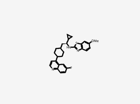 COc1ccc2nc(N[C@@H](CC3CCC(c4ccnc5ccc(F)cc45)CC3)C3CC3)sc2c1